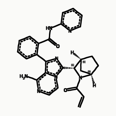 C=CC(=O)N1[C@@H]2CC[C@@H](C2)[C@H]1c1nc(-c2ccccc2C(=O)Nc2ccccn2)c2c(N)nccn12